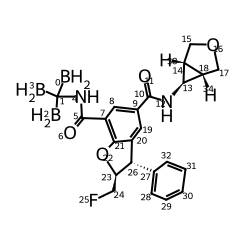 BC(B)(B)NC(=O)c1cc(C(=O)N[C@H]2[C@@H]3COC[C@@H]32)cc2c1O[C@H](CF)[C@H]2c1ccccc1